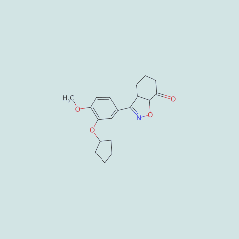 COc1ccc(C2=NOC3C(=O)CCCC23)cc1OC1CCCC1